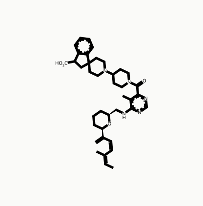 C=C(/C=C\C(C)=C/C)[C@H]1CCC[C@@H](CNc2ncnc(C(=O)N3CCC(N4CCC5(CC4)CC(C(=O)O)c4ccccc45)CC3)c2C)O1